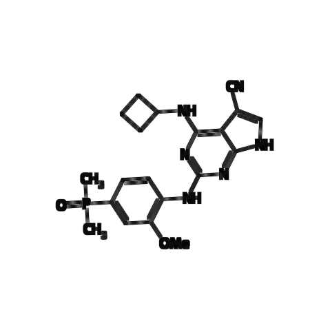 COc1cc(P(C)(C)=O)ccc1Nc1nc(NC2CCC2)c2c(C#N)c[nH]c2n1